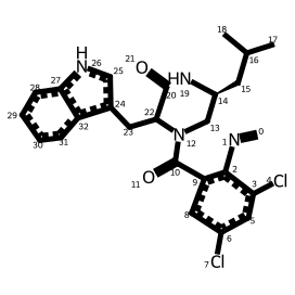 C=Nc1c(Cl)cc(Cl)cc1C(=O)N1C[C@H](CC(C)C)NC(=O)C1Cc1c[nH]c2ccccc12